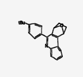 CC(C)(C)c1ccc(-c2nc3ccccc3c3c2C2CCC3O2)cc1